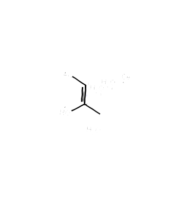 CC(=O)/C=C(/C)O.O.O.O.[Ce]